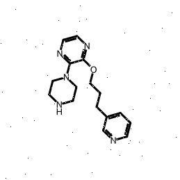 c1cncc(CCCOc2nccnc2N2CCNCC2)c1